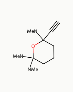 C#CC1(NC)CCCC(NC)(NC)O1